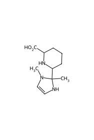 CN1C=CNC1(C)C1CCCC(C(=O)O)N1